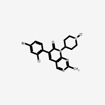 Cc1ncc2cc(-c3ccc(Br)cc3Cl)c(=O)n(C3CC[S+]([O-])CC3)c2n1